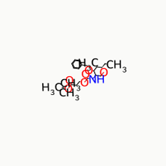 CC[C@H]1OC[C@@H](NC(=O)OCCC(=O)OC(C)(C)C)[C@@H](OCc2ccccc2)[C@H]1C